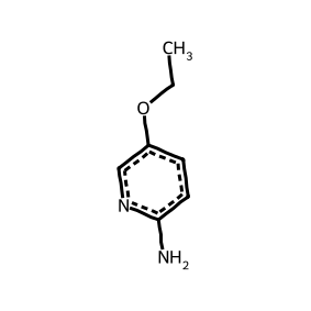 CCOc1ccc(N)nc1